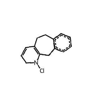 ClN1CC=CC2=C1Cc1ccccc1CC2